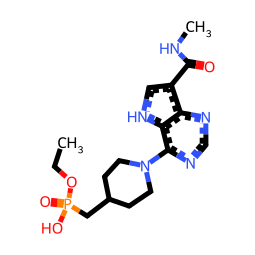 CCOP(=O)(O)CC1CCN(c2ncnc3c(C(=O)NC)c[nH]c23)CC1